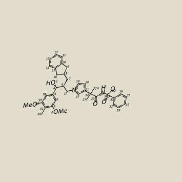 COc1cc([C@@H](O)[C@@H](CC2Cc3ccccc3C2)Cn2ccc(C(C)(C)C(=O)NS(=O)(=O)c3ccccc3)c2)cc(OC)c1C